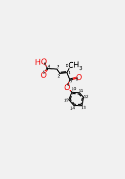 CC(=CCC(=O)O)C(=O)Oc1ccccc1